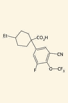 CCC1CCC(C(=O)O)(c2cc(F)c(OC(F)(F)F)c(C#N)c2)CC1